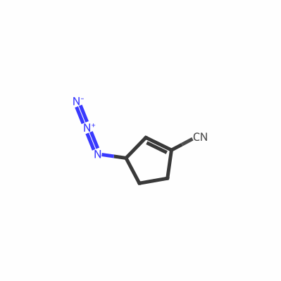 N#CC1=CC(N=[N+]=[N-])CC1